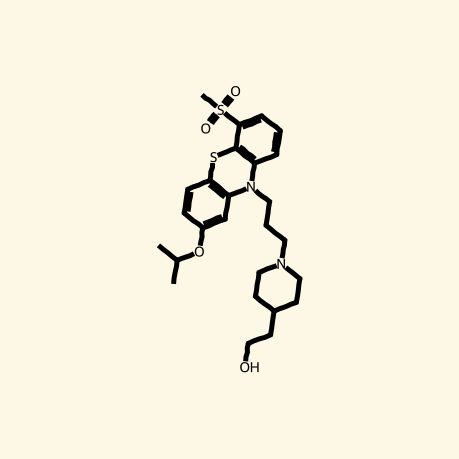 CC(C)Oc1ccc2c(c1)N(CCCN1CCC(CCO)CC1)c1cccc(S(C)(=O)=O)c1S2